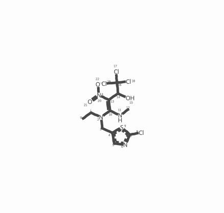 CCN(Cc1cnc(Cl)s1)/C(NC)=C(/C(O)C(Cl)(Cl)Cl)[N+](=O)[O-]